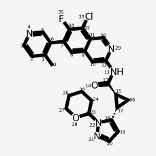 Cc1ccncc1-c1cc2cc(NC(=O)[C@H]3C[C@@H]3c3ccnn3C3CCCCO3)ncc2c(Cl)c1F